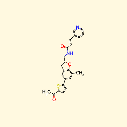 CC(=O)c1ccc(-c2cc(C)c3c(c2)CC(CNC(=O)/C=C/c2cccnc2)O3)s1